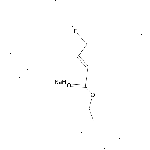 CCOC(=O)C=CCF.[NaH]